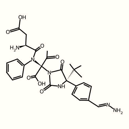 CC(=O)[C@@](C(=O)O)(N1C(=O)N[C@@](c2ccc(C=NN)cc2)(C(C)(C)C)C1=O)N(C(=O)[C@@H](N)CC(=O)O)c1ccccc1